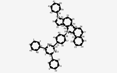 c1ccc(-c2cc(-c3ccccc3)nc(-c3ccc(-n4c5c6ccccc6ccc5c5ccc6c(ccn6-c6ccccc6)c54)cc3)n2)cc1